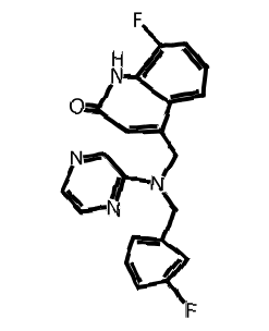 O=c1cc(CN(Cc2cccc(F)c2)c2cnccn2)c2cccc(F)c2[nH]1